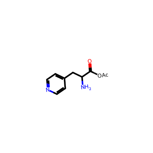 CC(=O)OC(=O)C(N)Cc1ccncc1